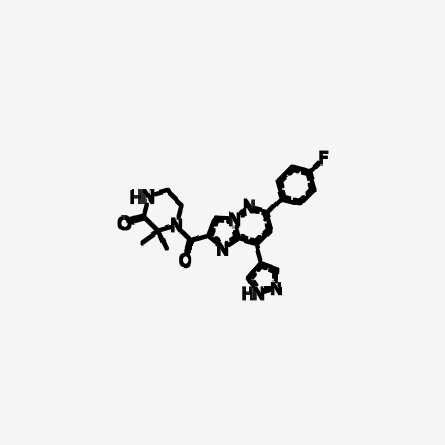 CC1(C)C(=O)NCCN1C(=O)c1cn2nc(-c3ccc(F)cc3)cc(-c3cn[nH]c3)c2n1